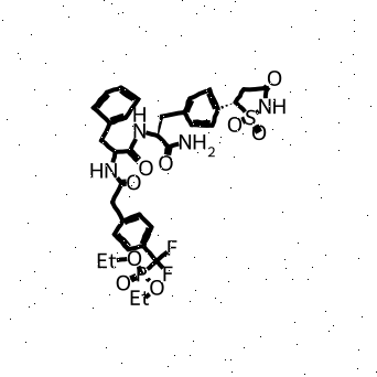 CCOP(=O)(OCC)C(F)(F)c1ccc(CC(=O)NC(Cc2ccccc2)C(=O)N[C@@H](Cc2ccc([C@@H]3CC(=O)NS3(=O)=O)cc2)C(N)=O)cc1